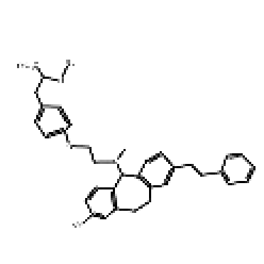 CCCc1ccc2c(c1)CCc1cc(CCc3ccccc3)ccc1C2N(C)CCOc1ccc(CC(OCC)C(=O)OCC)cc1